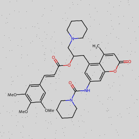 COc1cc(/C=C/C(=O)OC(Cc2cc(NC(=O)N3CCCCC3)cc3oc(=O)cc(C)c23)CN2CCCCC2)cc(OC)c1OC